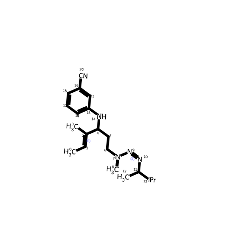 C/C=C(\C)C(CCN(C)/N=N\C(C)C(C)C)Nc1cccc(C#N)c1